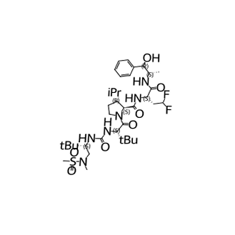 CC(C)[C@H]1CCN(C(=O)[C@@H](NC(=O)N[C@H](CN(C)S(C)(=O)=O)C(C)(C)C)C(C)(C)C)[C@@H]1C(=O)N[C@@H](CC(F)F)C(=O)N[C@@H](C)[C@H](O)c1ccccc1